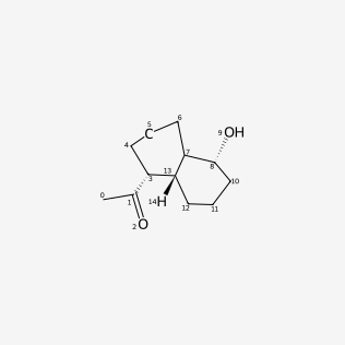 CC(=O)[C@@H]1CCCC2[C@H](O)CCC[C@@H]21